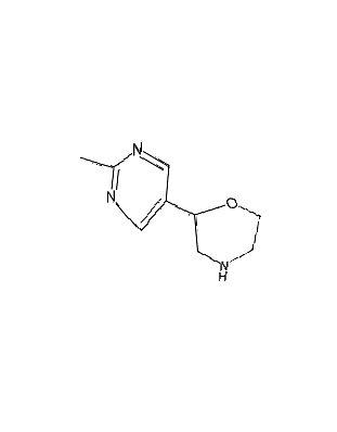 Cc1ncc([C]2CNCCO2)cn1